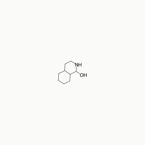 OC1NCCC2CCCCC21